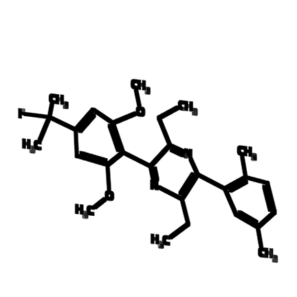 CCc1nc(-c2c(OC)cc(C(C)(C)F)cc2OC)c(CC)nc1-c1cc(C)ccc1C